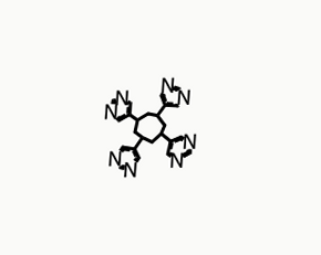 c1ncc(C2CC(c3cncnc3)CC(c3cncnc3)CC(c3cncnc3)C2)cn1